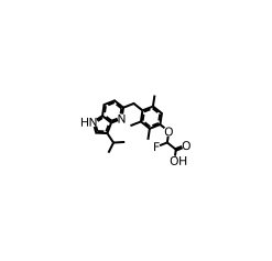 Cc1cc(OC(F)C(=O)O)c(C)c(C)c1Cc1ccc2[nH]cc(C(C)C)c2n1